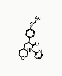 CC(=O)CSc1ccc(C(CC2CCOCC2)C(=O)Nc2nccs2)cc1